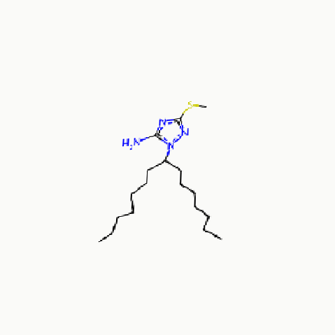 CCCCCCCC(CCCCCCC)n1nc(SC)nc1N